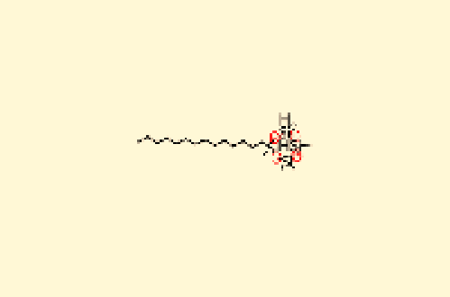 CCCCCCCCCCCCCC[Si]1(C)O[SiH2]O[SiH](C)O[Si](C)(C)O1